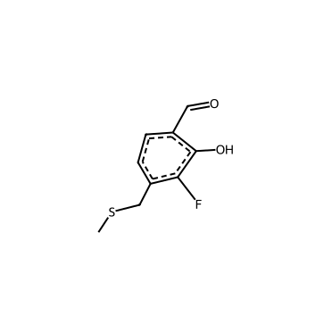 CSCc1ccc(C=O)c(O)c1F